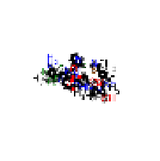 Cc1ncsc1-c1ccc([C@H](C)NC(=O)[C@@H]2C[C@@H](O)CN2C(=O)[C@@H](NC(=O)CCCCN[C@@H](C)C(=O)N2[C@@H]3CC[C@H]2[C@H]2CCCc4nc(-c5cc(N)c(F)c(C)c5C(F)(F)F)c(F)c5nc(OC[C@@]67CCCN6C[C@H](F)C7)nc(c45)N2C3)C(C)(C)C)cc1